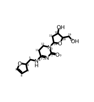 O=C1N=C(NCC2CC=CO2)CCN1C1CC(O)C(CO)O1